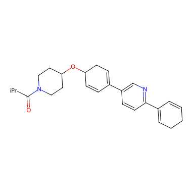 CC(C)C(=O)N1CCC(OC2C=CC(c3ccc(C4=CCCC=C4)nc3)=CC2)CC1